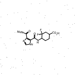 CNC(=O)c1nc[nH]c1C(=O)NC1CCC(C(=O)O)CC1(F)F